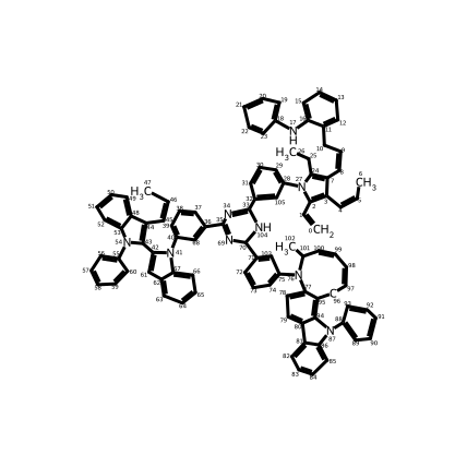 C=Cc1c(/C=C\C)c(/C=C\Cc2ccccc2Nc2ccccc2)c(CC)n1-c1cccc(C2=NC(c3cccc(-n4c(-c5c(/C=C\C)c6ccccc6n5-c5ccccc5)cc5ccccc54)c3)=NC(c3cccc(N4c5ccc6c7ccccc7n(-c7ccccc7)c6c5C/C=C\C=C/C4C)c3)N2)c1